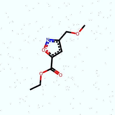 CCOC(=O)c1cc(COC)no1